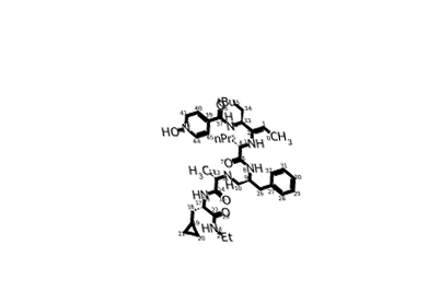 C/C=C(\N[C@@H](CCC)C(=O)N[C@H](CN[C@@H](C)C(=O)N[C@@H](CC1CC1)C(=O)NCC)Cc1ccccc1)[C@H](CC(C)(C)C)NC(=O)C1=CCN(O)C=C1